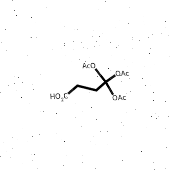 CC(=O)OC(CCC(=O)O)(OC(C)=O)OC(C)=O